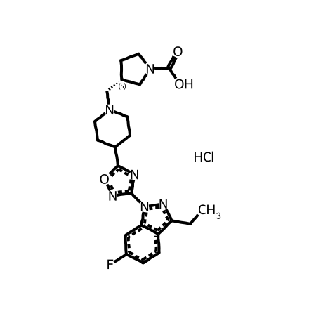 CCc1nn(-c2noc(C3CCN(C[C@@H]4CCN(C(=O)O)C4)CC3)n2)c2cc(F)ccc12.Cl